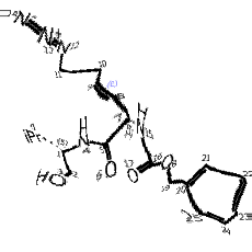 CC(C)[C@@H](CO)NC(=O)[C@H](/C=C/CCN=[N+]=[N-])NC(=O)OCc1ccccc1